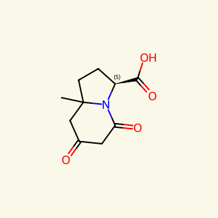 CC12CC[C@@H](C(=O)O)N1C(=O)CC(=O)C2